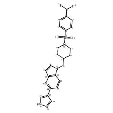 O=S(=O)(c1ccc(C(F)F)cc1)N1CCC(Cn2ccc3nc(-c4cn[nH]c4)ccc32)CC1